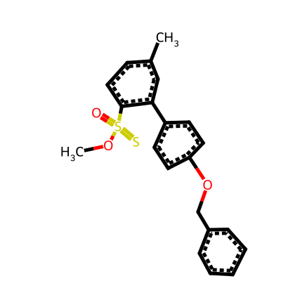 COS(=O)(=S)c1ccc(C)cc1-c1ccc(OCc2ccccc2)cc1